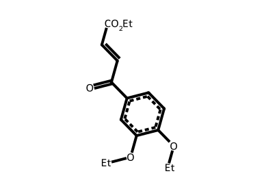 CCOC(=O)/C=C/C(=O)c1ccc(OCC)c(OCC)c1